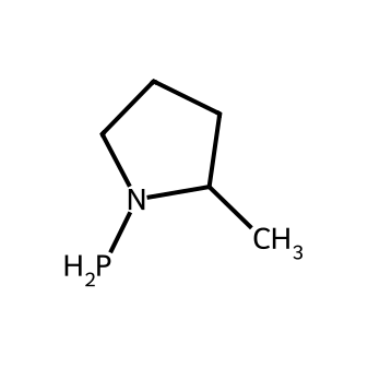 CC1CCCN1P